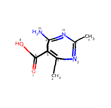 Cc1nc(C)c(C(=O)O)c(N)n1